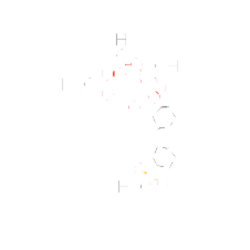 CC(=O)O[C@@H]1[C@@H](OC(C)=O)[C@H](Oc2ccc(Cc3ccc(S(C)(=O)=O)cc3)cc2)OC[C@H]1OC(C)=O